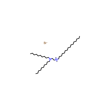 CCCCCCCCCCCCCCCC[N+](C)(C)CCN(CCCCCCCCCC)CCCCCCCCCC.[Br-]